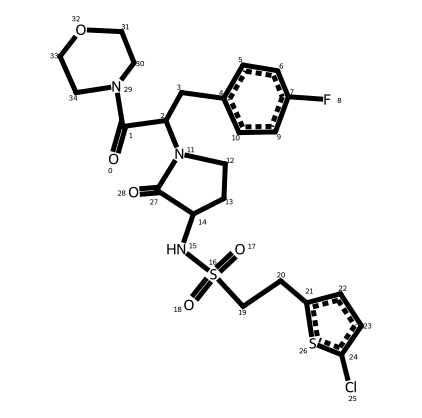 O=C(C(Cc1ccc(F)cc1)N1CCC(NS(=O)(=O)CCc2ccc(Cl)s2)C1=O)N1CCOCC1